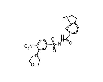 O=C(NNS(=O)(=O)c1ccc([N+](=O)[O-])c(N2CCOCC2)c1)c1ccc2c(c1)NCC2